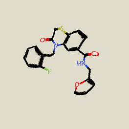 O=C(NCc1ccco1)c1ccc2c(c1)N(Cc1ccccc1F)C(=O)CS2